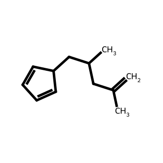 C=C(C)CC(C)CC1C=CC=C1